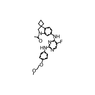 COCCOc1ccc(Nc2ncc(F)c(Nc3ccc4c(c3)N(C(C)=O)CC43CCC3)n2)cc1